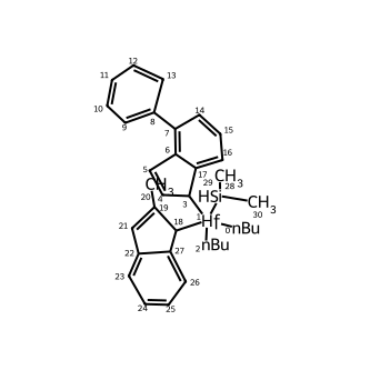 CCC[CH2][Hf]([CH2]CCC)([CH]1C=Cc2c(-c3ccccc3)cccc21)([CH]1C(C)=Cc2ccccc21)[SiH](C)C